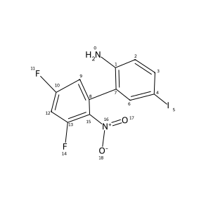 Nc1ccc(I)cc1-c1cc(F)cc(F)c1[N+](=O)[O-]